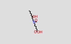 CCCCC[C@H](O)CCCN(CCCCCCC(=O)O)C(C)=O